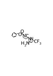 Nc1cc(C(F)(F)F)nn1C1CCN(C(=O)OCc2ccccc2)CC1